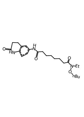 CCCCON(CC)C(=O)CCCCCCC(=O)Nc1ccc2c(c1)CCC(=O)N2